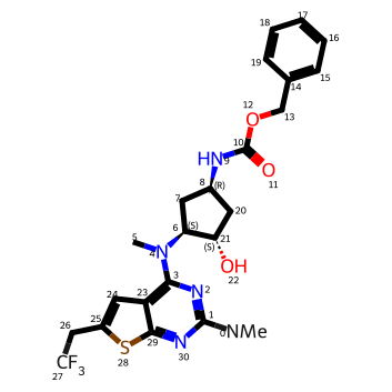 CNc1nc(N(C)[C@H]2C[C@@H](NC(=O)OCc3ccccc3)C[C@@H]2O)c2cc(CC(F)(F)F)sc2n1